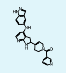 O=C(c1cccnc1)N1CC=C(C2Cc3c(Nc4ccc5[nH]ncc5c4)ccnc3N2)CC1